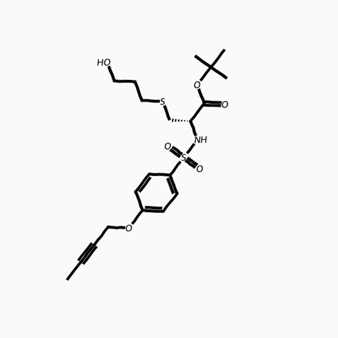 CC#CCOc1ccc(S(=O)(=O)N[C@H](CSCCCO)C(=O)OC(C)(C)C)cc1